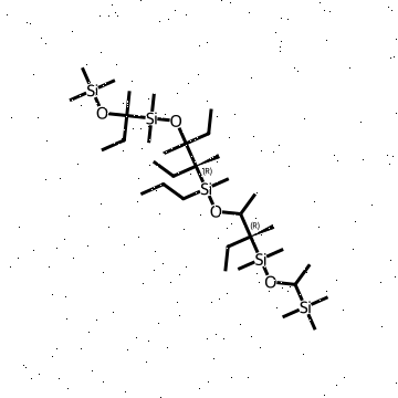 CCC[Si](C)(OC(C)[C@@](C)(CC)[Si](C)(C)OC(C)[Si](C)(C)C)[C@](C)(CC)C(C)(CC)O[Si](C)(C)C(C)(CC)O[Si](C)(C)C